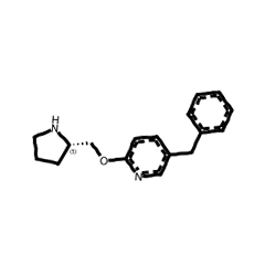 c1ccc(Cc2ccc(OC[C@@H]3CCCN3)nc2)cc1